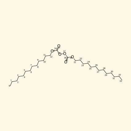 CCCCCCCCCCCCCOC(=O)OOC(=O)OCCCCCCCCCCCCC